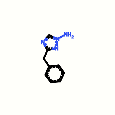 Nn1cnc(Cc2ccccc2)n1